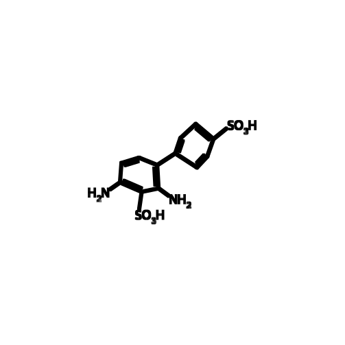 Nc1ccc(-c2ccc(S(=O)(=O)O)cc2)c(N)c1S(=O)(=O)O